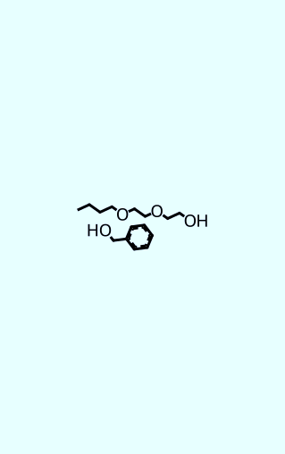 CCCCOCCOCCO.OCc1ccccc1